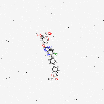 CS(=O)(=O)Cc1ccc(-c2ccc(-c3nc4nc(O[C@H]5CO[C@H](CO)[C@@H](O)C5)[nH]c4cc3Cl)cc2)cc1